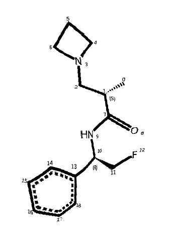 C[C@@H](CN1CCC1)C(=O)N[C@@H](CF)c1ccccc1